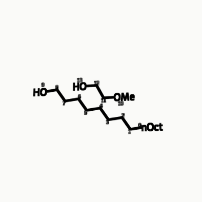 CCCCCCCCCCCCCCCCO.COCCO